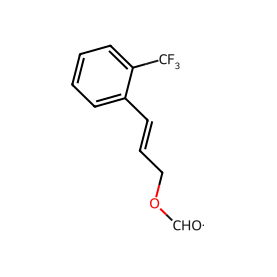 O=[C]OC/C=C/c1ccccc1C(F)(F)F